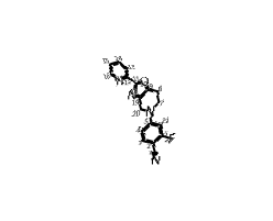 N#Cc1ccc(N2CCc3oc(-c4ccccn4)nc3C2)cc1F